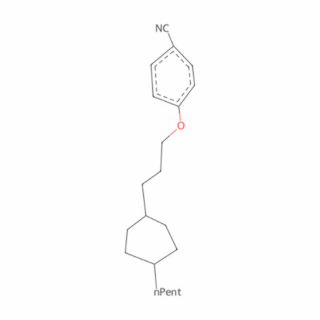 CCCCCC1CCC(CCCOc2ccc(C#N)cc2)CC1